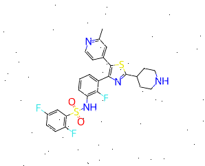 Cc1cc(-c2sc(C3CCNCC3)nc2-c2cccc(NS(=O)(=O)c3cc(F)ccc3F)c2F)ccn1